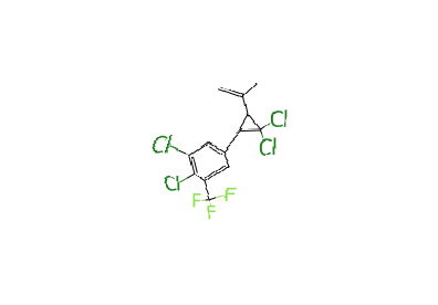 C=C(C)C1C(c2cc(Cl)c(Cl)c(C(F)(F)F)c2)C1(Cl)Cl